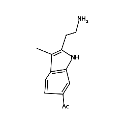 CC(=O)c1ccc2c(C)c(CCN)[nH]c2c1